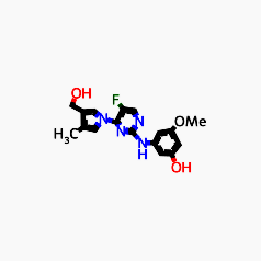 COc1cc(O)cc(Nc2ncc(F)c(-n3cc(C)c(CO)c3)n2)c1